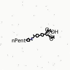 C=C(C)C(=O)OCCCC(COC(=O)C(=C)CO)C1CCC(C2CCC(C(C)C/C=C(\C)C3=CC=C(CCCCC)CC3)CC2)CC1